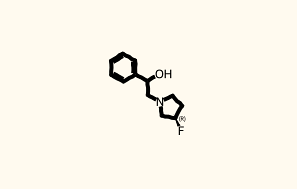 OC(CN1CC[C@@H](F)C1)c1ccccc1